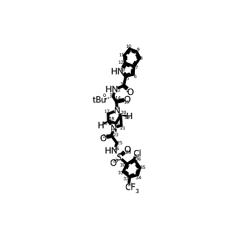 CC(C)(C)[C@H](NC(=O)c1cc2ccccc2[nH]1)C(=O)N1C[C@@H]2C[C@H]1CN2C(=O)CNS(=O)(=O)c1cc(C(F)(F)F)ccc1Cl